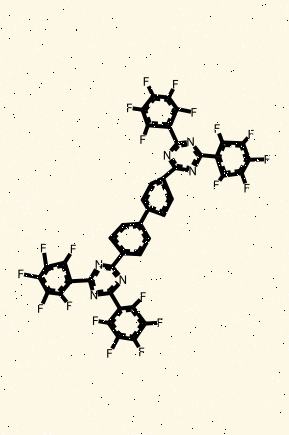 Fc1c(F)c(F)c(-c2nc(-c3ccc(-c4ccc(-c5nc(-c6c(F)c(F)c(F)c(F)c6F)nc(-c6c(F)c(F)c(F)c(F)c6F)n5)cc4)cc3)nc(-c3c(F)c(F)c(F)c(F)c3F)n2)c(F)c1F